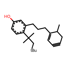 CC1CC#CC=C1CCCc1cc(O)ccc1C(C)(C)CC(C)(C)C